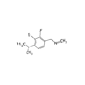 C=NCc1ccc(C(C)C)c(F)c1F